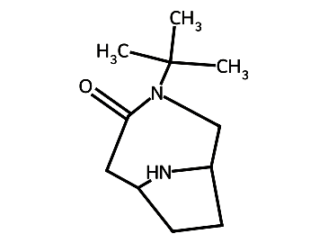 CC(C)(C)N1CC2CCC(CC1=O)N2